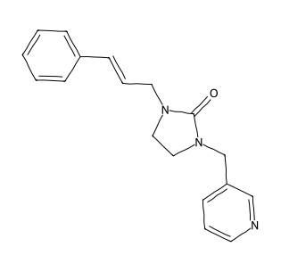 O=C1N(CC=Cc2ccccc2)CCN1Cc1cccnc1